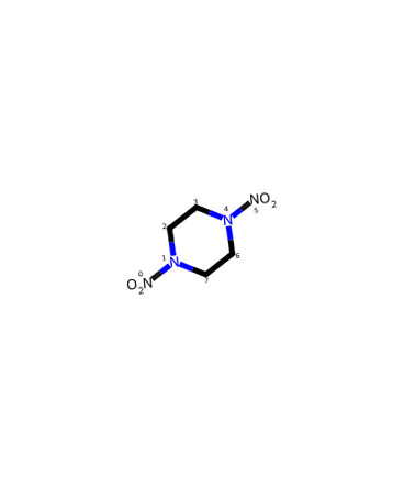 O=[N+]([O-])N1CCN([N+](=O)[O-])CC1